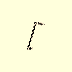 CCCCCCCCCCCCCCC[CH]CCCO